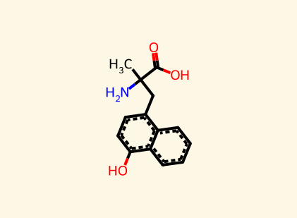 CC(N)(Cc1ccc(O)c2ccccc12)C(=O)O